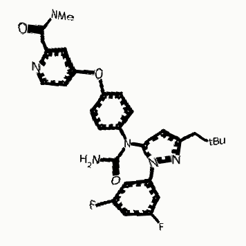 CNC(=O)c1cc(Oc2ccc(N(C(N)=O)c3cc(CC(C)(C)C)nn3-c3cc(F)cc(F)c3)cc2)ccn1